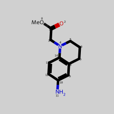 COC(=O)CN1CCCc2cc(N)ccc21